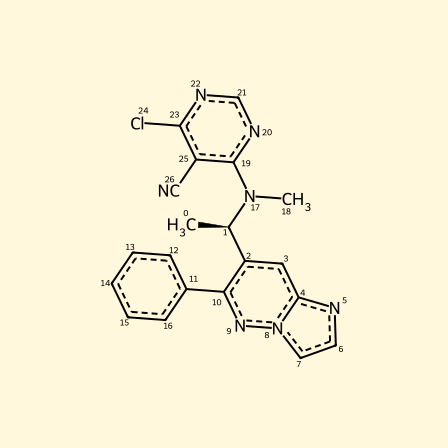 C[C@H](c1cc2nccn2nc1-c1ccccc1)N(C)c1ncnc(Cl)c1C#N